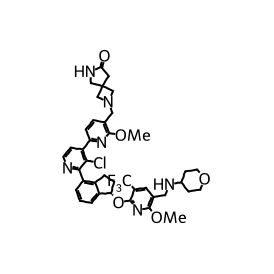 COc1nc(-c2ccnc(-c3cccc4c3CC[C@@H]4Oc3nc(OC)c(CNC4CCOCC4)cc3C(F)(F)F)c2Cl)ccc1CN1CC2(CNC(=O)C2)C1